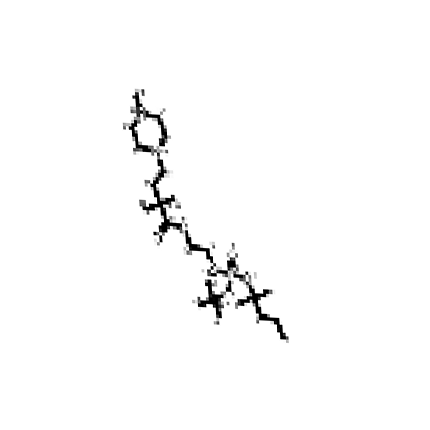 CCCC(C)(C)OP(=O)(OC(C)(C)C)SCCOC(=O)C(C)(C)CCN1CCN(C)CC1